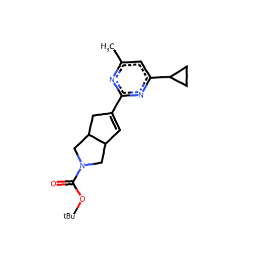 Cc1cc(C2CC2)nc(C2=CC3CN(C(=O)OC(C)(C)C)CC3C2)n1